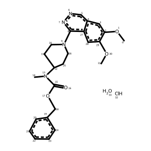 COc1cc2cnnc(N3CCC(N(C)C(=O)OCc4ccccc4)CC3)c2cc1OC.Cl.O